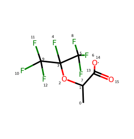 CC(OC(F)(C(F)(F)F)C(F)(F)F)C([O])=O